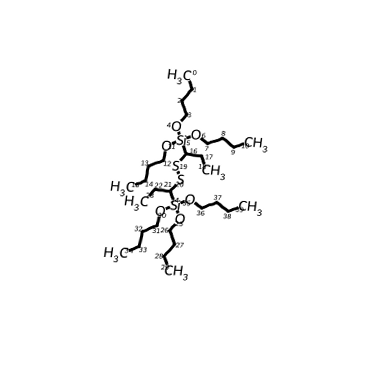 CCCCO[Si](OCCCC)(OCCCC)C(CC)SSC(CC)[Si](OCCCC)(OCCCC)OCCCC